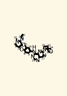 C=C/N=c1/cc(Oc2ccc(Nc3ncnc4cnc(N5CCC56COC6)nc34)cc2Cl)ccn1C